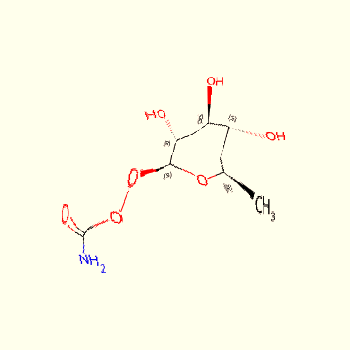 C[C@H]1O[C@@H](OOC(N)=O)[C@H](O)[C@@H](O)[C@@H]1O